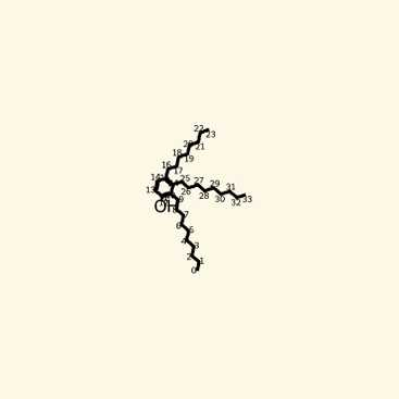 CCCCCCCCCCc1c(O)ccc(CCCCCCCC)c1CCCCCCCCC